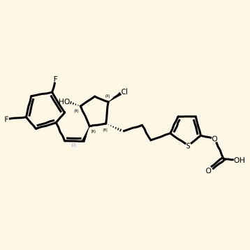 O=C(O)Oc1ccc(CCC[C@@H]2[C@@H](/C=C\c3cc(F)cc(F)c3)[C@H](O)C[C@H]2Cl)s1